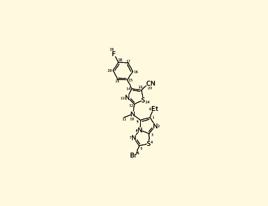 CCc1nc2sc(Br)nn2c1N(C)c1nc(-c2ccc(F)cc2)c(C#N)s1